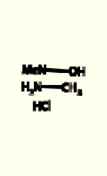 CN.CNO.Cl